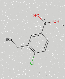 CC(C)(C)Cc1cc(B(O)O)ccc1Cl